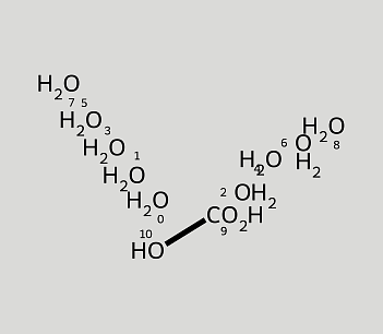 O.O.O.O.O.O.O.O.O.O=C(O)O